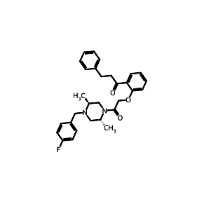 C[C@@H]1CN(Cc2ccc(F)cc2)[C@@H](C)CN1C(=O)COc1ccccc1C(=O)CCc1ccccc1